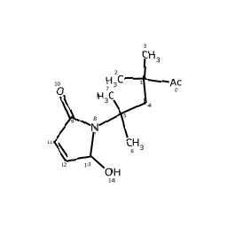 CC(=O)C(C)(C)CC(C)(C)N1C(=O)C=CC1O